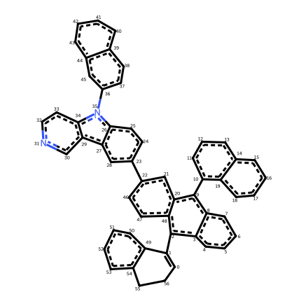 C1=C(c2c3ccccc3c(-c3cccc4ccccc34)c3cc(-c4ccc5c(c4)c4cnccc4n5-c4ccc5ccccc5c4)ccc23)c2ccccc2CC1